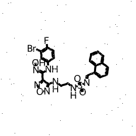 O=S(=O)(/N=C/c1cccc2ccccc12)NCCNc1nonc1/C(=N/O)Nc1ccc(F)c(Br)c1